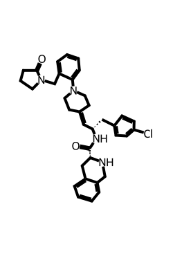 O=C(N[C@H](C=C1CCN(c2ccccc2CN2CCCC2=O)CC1)Cc1ccc(Cl)cc1)[C@H]1Cc2ccccc2CN1